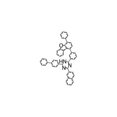 c1ccc(-c2ccc(C3N=C(c4ccc5ccccc5c4)N=C(c4cccc(-c5ccc(-c6ccccc6)c6oc7ccccc7c56)c4)N3)cc2)cc1